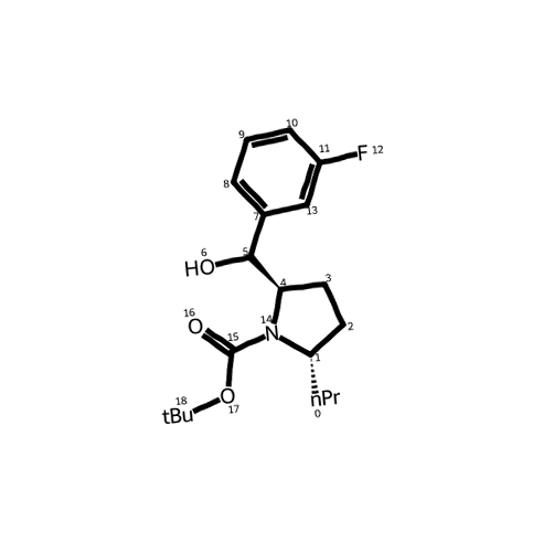 CCC[C@H]1CC[C@H](C(O)c2cccc(F)c2)N1C(=O)OC(C)(C)C